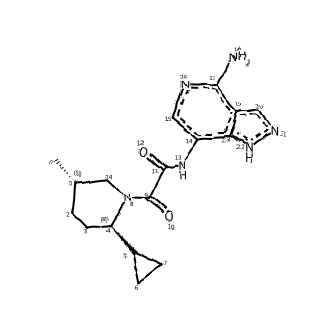 C[C@H]1CC[C@H](C2CC2)N(C(=O)C(=O)Nc2cnc(N)c3cn[nH]c23)C1